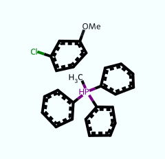 COc1cccc(Cl)c1.C[PH](c1ccccc1)(c1ccccc1)c1ccccc1